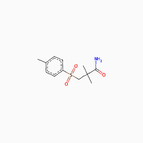 Cc1ccc(S(=O)(=O)CC(C)(C)C(N)=O)cc1